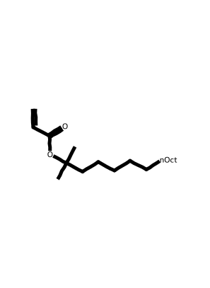 C=CC(=O)OC(C)(C)CCCCCCCCCCCCC